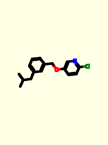 CC(C)Cc1cccc(COc2ccc(Cl)nc2)c1